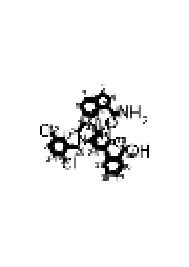 NC(=O)C1CCc2ccccc21.O=C(O)c1ccccc1-c1cnc2c(c1)N(Cc1cc(Cl)ccc1Cl)CCN2